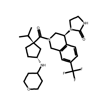 CC(C)[C@]1(C(=O)N2Cc3cc(C(F)(F)F)ccc3[C@H](N3CCNC3=O)C2)CC[C@@H](NC2CCOCC2)C1